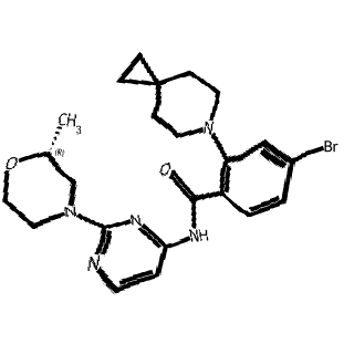 C[C@@H]1CN(c2nccc(NC(=O)c3ccc(Br)cc3N3CCC4(CC3)CC4)n2)CCO1